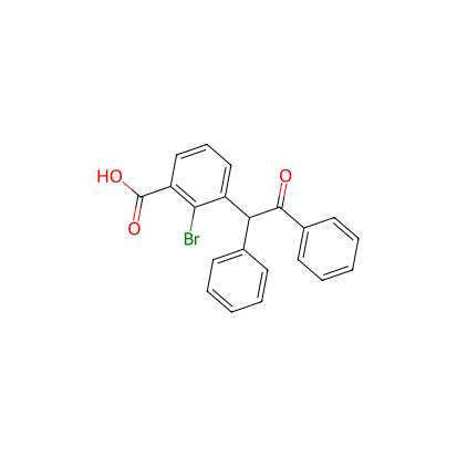 O=C(O)c1cccc(C(C(=O)c2ccccc2)c2ccccc2)c1Br